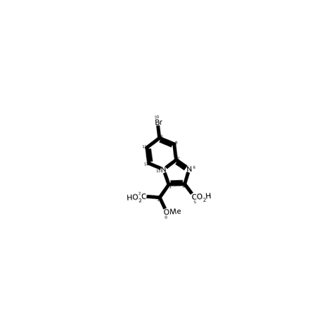 COC(C(=O)O)c1c(C(=O)O)nc2cc(Br)ccn12